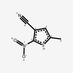 Cc1cc(C#N)c([N+](=O)[O-])s1